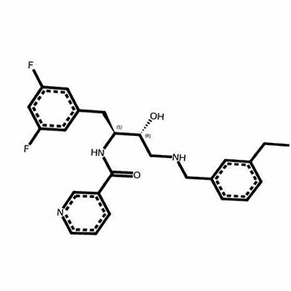 CCc1cccc(CNC[C@@H](O)[C@H](Cc2cc(F)cc(F)c2)NC(=O)c2cccnc2)c1